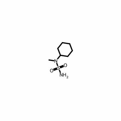 CN(C1CCCCC1)S(N)(=O)=O